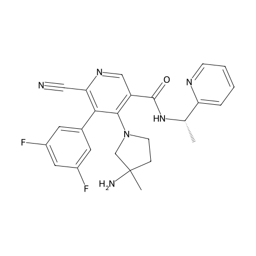 C[C@H](NC(=O)c1cnc(C#N)c(-c2cc(F)cc(F)c2)c1N1CCC(C)(N)C1)c1ccccn1